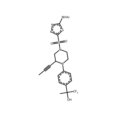 CC#CC1CN(S(=O)(=O)c2nnc(NC(C)=O)s2)CCN1c1ccc(C(C)(O)C(F)(F)F)cc1